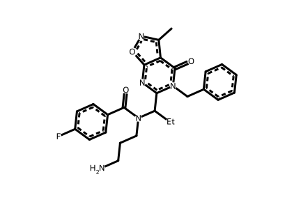 CCC(c1nc2onc(C)c2c(=O)n1Cc1ccccc1)N(CCCN)C(=O)c1ccc(F)cc1